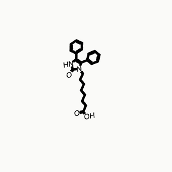 O=C(O)CCCCCCCn1c(-c2ccccc2)c(-c2ccccc2)[nH]c1=O